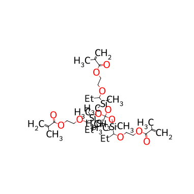 C=C(C)C(=O)OCCOC(CC)[Si](C)(C)OC([SiH3])(O[Si](C)(C)C(CC)OCCOC(=O)C(=C)C)O[Si](C)(C)C(CC)OCCOC(=O)C(=C)C